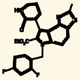 CCOC(=O)c1c(-c2ccc[nH]c2=O)c2c3nc(C)sc3ccc2n1Cc1ccc(F)cc1F